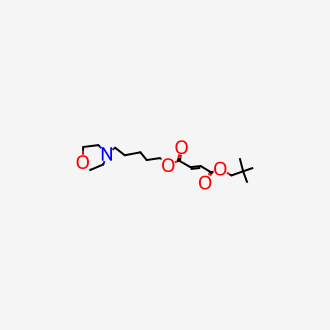 CC(C)(C)COC(=O)C=CC(=O)OCCCCCN1CCOCC1